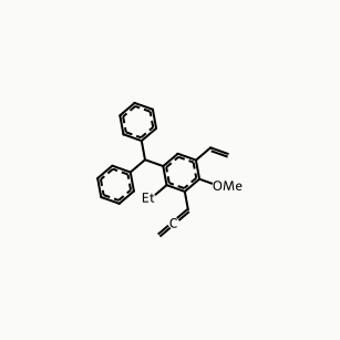 C=C=Cc1c(CC)c(C(c2ccccc2)c2ccccc2)cc(C=C)c1OC